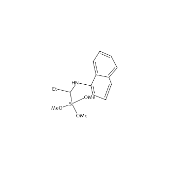 CCC(Nc1cccc2ccccc12)[Si](OC)(OC)OC